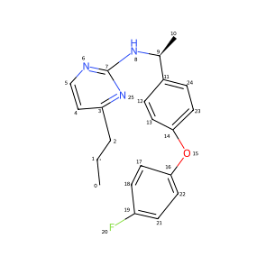 C[CH]Cc1ccnc(N[C@@H](C)c2ccc(Oc3ccc(F)cc3)cc2)n1